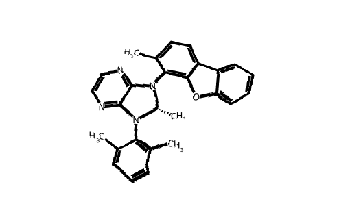 Cc1cccc(C)c1N1c2nccnc2N(c2c(C)ccc3c2oc2ccccc23)[C@@H]1C